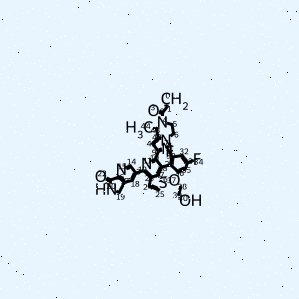 C=CC(=O)N1CCn2nc(-c3nc(-c4cnc5c(c4)CNC5=O)c4ccsc4c3-c3c(F)cc(F)cc3OCCO)cc2C1C